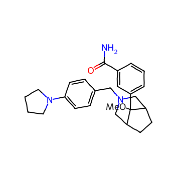 COC1(c2cccc(C(N)=O)c2)C2CCC1CN(Cc1ccc(N3CCCC3)cc1)C2